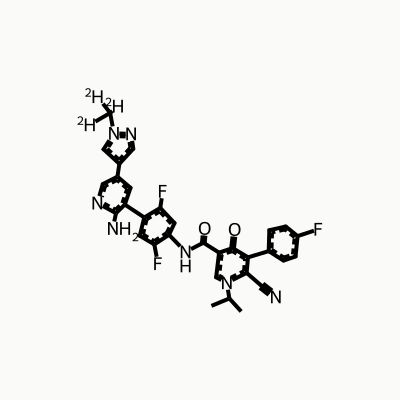 [2H]C([2H])([2H])n1cc(-c2cnc(N)c(-c3cc(F)c(NC(=O)c4cn(C(C)C)c(C#N)c(-c5ccc(F)cc5)c4=O)cc3F)c2)cn1